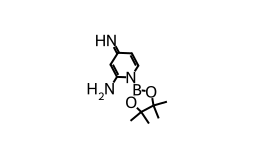 CC1(C)OB(n2ccc(=N)cc2N)OC1(C)C